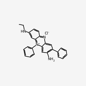 CCNc1ccc2nc3cc(-c4ccccc4)c(N)cc3[n+](-c3ccccc3)c2c1.[Cl-]